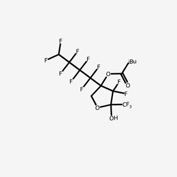 CCC(C)C(=O)OC1(C(F)(F)C(F)(F)C(F)(F)C(F)F)COC(O)(C(F)(F)F)C1(F)F